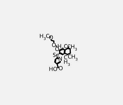 COCCOCOc1cc2c(cc1[Se]c1ccc(C(=O)O)cn1)C(C)(C)CCC2(C)C